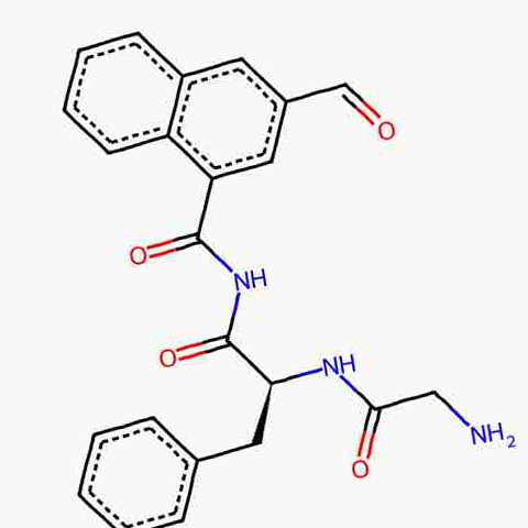 NCC(=O)N[C@@H](Cc1ccccc1)C(=O)NC(=O)c1cc(C=O)cc2ccccc12